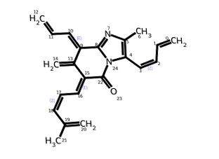 C=C/C=C\c1c(C)nc2/c(=C/C=C)c(=C)/c(=C\C=C/C(=C)C)c(=O)n12